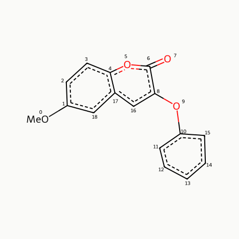 COc1ccc2oc(=O)c(Oc3ccccc3)cc2c1